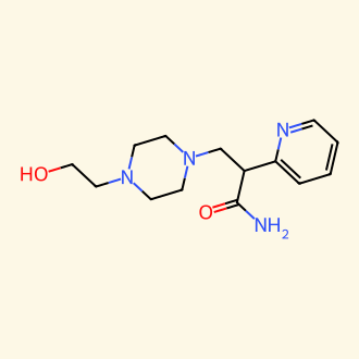 NC(=O)C(CN1CCN(CCO)CC1)c1ccccn1